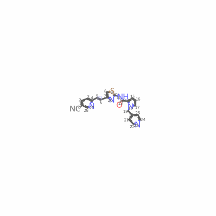 N#Cc1ccc(/C=C/c2csc(NC(=O)c3cccn3Cc3ccncc3)n2)nc1